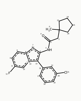 CC1(CC(=O)Nc2nc3ccc(F)cn3c2-c2cccc(Cl)c2)CCCC1